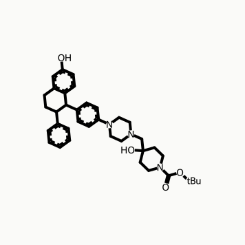 CC(C)(C)OC(=O)N1CCC(O)(CN2CCN(c3ccc(C4c5ccc(O)cc5CCC4c4ccccc4)cc3)CC2)CC1